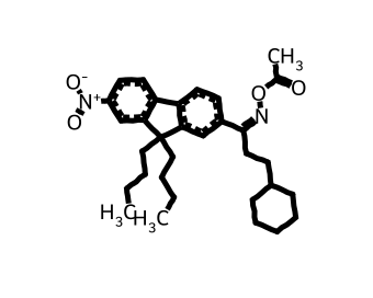 CCCCC1(CCCC)c2cc(/C(CCC3CCCCC3)=N\OC(C)=O)ccc2-c2ccc([N+](=O)[O-])cc21